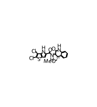 COC[C@H]1c2ccccc2NC(=O)[C@@H]1NC(=O)c1cc2sc(Cl)c(Cl)c2[nH]1